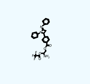 NC(COC(=O)c1ccc(C2C/C(=N\c3ccccc3)N2c2ccccc2)cc1)OC(=O)C(F)(F)F